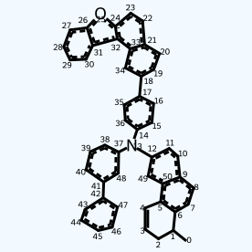 CC1CC=Cc2c1ccc1ccc(N(c3ccc(-c4ccc5ccc6oc7ccccc7c6c5c4)cc3)c3cccc(-c4ccccc4)c3)cc21